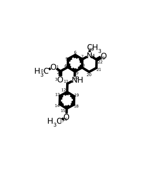 COC(=O)c1ccc2c(c1NCc1ccc(OC)cc1)CCC(=O)N2C